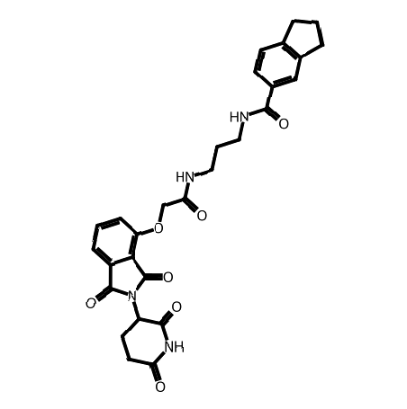 O=C(COc1cccc2c1C(=O)N(C1CCC(=O)NC1=O)C2=O)NCCCNC(=O)c1ccc2c(c1)CCC2